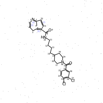 CC1=N\C=C/C/C=C(C(=O)NCCCCC2CCN(C(=O)c3ccc(Cl)c(Cl)c3)CC2)/C=C\1